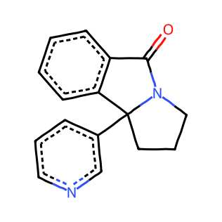 O=C1c2ccccc2C2(c3cccnc3)CCCN12